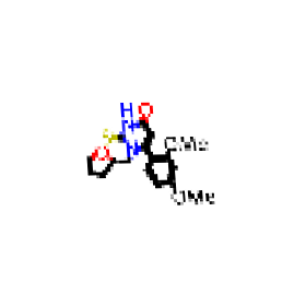 COc1ccc(-c2cc(=O)[nH]c(=S)n2C[C@H]2CCCO2)c(OC)c1